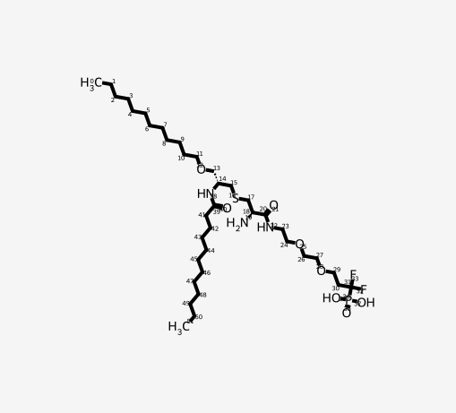 CCCCCCCCCCCCOC[C@H](CSC[C@H](N)C(=O)NCCOCCOCCC(F)(F)P(=O)(O)O)NC(=O)CCCCCCCCCCC